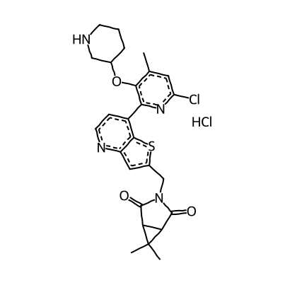 Cc1cc(Cl)nc(-c2ccnc3cc(CN4C(=O)C5C(C4=O)C5(C)C)sc23)c1OC1CCCNC1.Cl